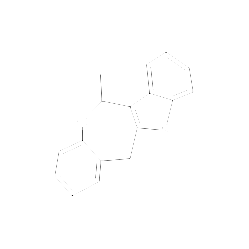 CC1Oc2ccccc2Cc2sc3ccccc3c21